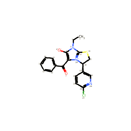 CCn1c([O-])c(C(=O)c2ccccc2)[n+]2c1SCC2c1ccc(Cl)nc1